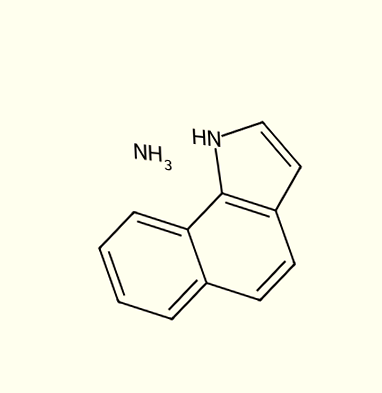 N.c1ccc2c(c1)ccc1cc[nH]c12